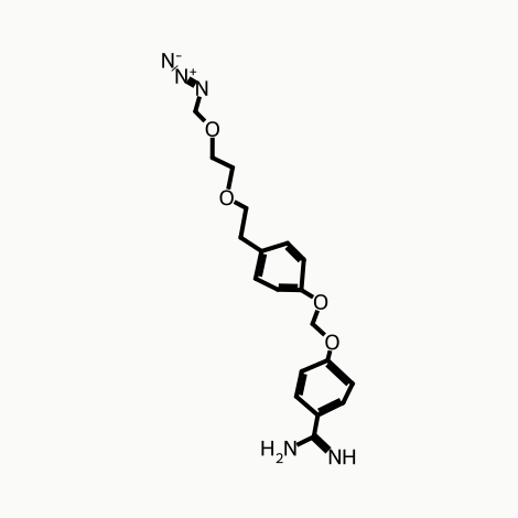 [N-]=[N+]=NCOCCOCCc1ccc(OCOc2ccc(C(=N)N)cc2)cc1